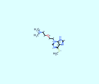 CSC1=NC=[N+](CCOCCN(C)C)C2NC=NC12